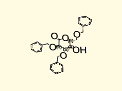 O=C1O[C@H](COCc2ccccc2)[C@@H](O)[C@H](OCc2ccccc2)[C@H]1OCc1ccccc1